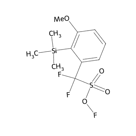 COc1cccc(C(F)(F)S(=O)(=O)OF)c1[Si](C)(C)C